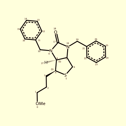 COCCC[C@@H]1SCC2[C@@H]1N(Cc1ccccc1)C(=O)N2Cc1ccccc1